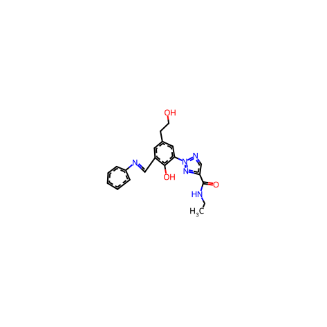 CCNC(=O)c1cnn(-c2cc(CCO)cc(C=Nc3ccccc3)c2O)n1